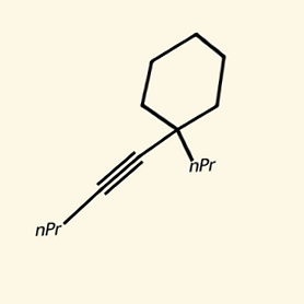 CCCC#CC1(CCC)CCCCC1